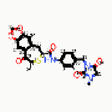 C[C@@H]1S[C@@H](C(=O)Nc2ccc(CN3C(=O)CN(C)C3=O)cc2)Cc2cc3c(cc2C1=O)OCO3